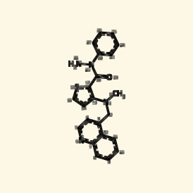 CN(Cc1ccnc2ccccc12)c1ccsc1C(=O)N(N)c1ccccc1